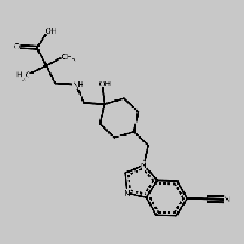 CC(C)(CNCC1(O)CCC(Cn2cnc3ccc(C#N)cc32)CC1)C(=O)O